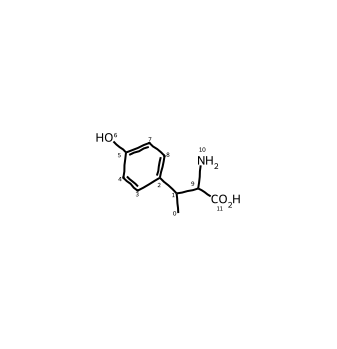 CC(c1ccc(O)cc1)C(N)C(=O)O